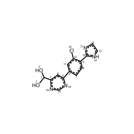 OC(O)c1cc(-c2ccc(-c3ncc[nH]3)c(Cl)c2)ncn1